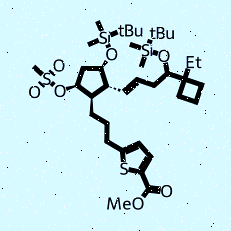 CCC1(C(C/C=C/[C@@H]2[C@@H](CCCc3ccc(C(=O)OC)s3)[C@@H](OS(C)(=O)=O)C[C@H]2O[Si](C)(C)C(C)(C)C)O[Si](C)(C)C(C)(C)C)CCC1